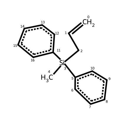 C=CC[Si](C)(c1ccccc1)c1ccccc1